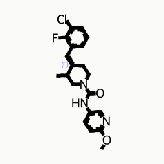 COc1ccc(NC(=O)N2CC/C(=C\c3cccc(Cl)c3F)C(C)C2)cn1